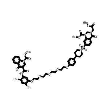 CC(C)(C)OC(=O)CN1CN(C(=O)OC(C)(C)C)c2cc(S(=O)(=O)N3CCC(c4ccc(OCCOCCOCCOCCOc5cc(NC(=O)c6cn(C(=O)OC(C)(C)C)c7ccccc7c6=O)c(C(C)(C)C)cc5C(C)(C)C)cc4)CC3)ccc2C1=O